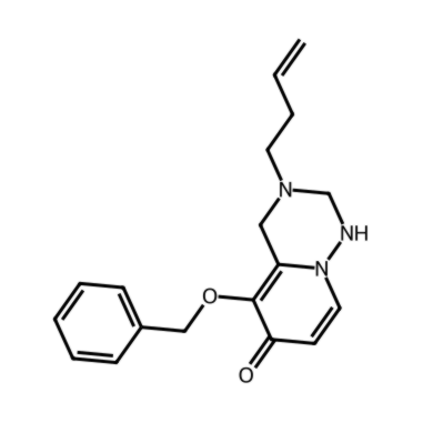 C=CCCN1CNn2ccc(=O)c(OCc3ccccc3)c2C1